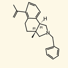 C=C(C)c1cccc2c1CC[C@@]1(C)CN(Cc3ccccc3)C[C@H]21